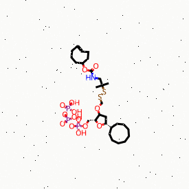 CC(C)(CNC(=O)OC1CC/C=C/CCC1)SSCOC1C[C@H](C2CCCCCCCC2)O[C@@H]1COP(=O)(O)OP(=O)(O)OP(=O)(O)O